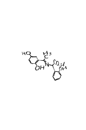 C/C(=N\C(C(=O)O)c1ccccc1O)c1cc(O)ccc1O